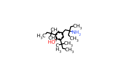 CCC(N)(CC)Cc1cc(C(C)(C)CC)c(O)c(C(C)(C)CC)c1